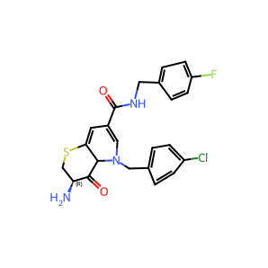 N[C@H]1CSC2=CC(C(=O)NCc3ccc(F)cc3)=CN(Cc3ccc(Cl)cc3)C2C1=O